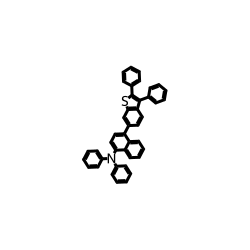 c1ccc(-c2sc3cc(-c4ccc(N(c5ccccc5)c5ccccc5)c5ccccc45)ccc3c2-c2ccccc2)cc1